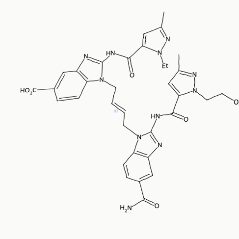 CCn1nc(C)cc1C(=O)Nc1nc2cc(C(=O)O)ccc2n1C/C=C/Cn1c(NC(=O)c2cc(C)nn2CCO)nc2cc(C(N)=O)ccc21